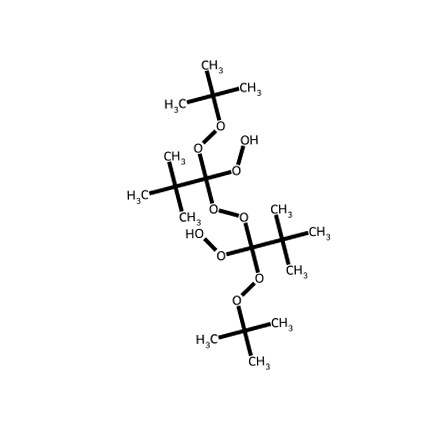 CC(C)(C)OOC(OO)(OOC(OO)(OOC(C)(C)C)C(C)(C)C)C(C)(C)C